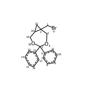 BrCC12COC(c3ccccc3)(c3ccccc3)OCC1C2